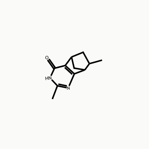 Cc1nc2c(c(=O)[nH]1)C1CC(C)C2C1